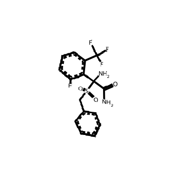 NC(=O)C(N)(c1c(F)cccc1C(F)(F)F)S(=O)(=O)Cc1ccccc1